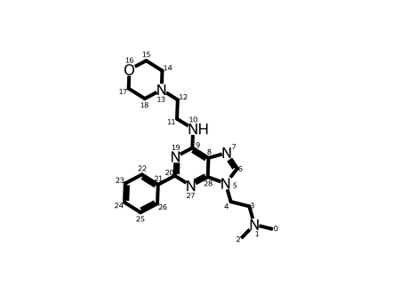 CN(C)CCn1cnc2c(NCCN3CCOCC3)nc(-c3ccccc3)nc21